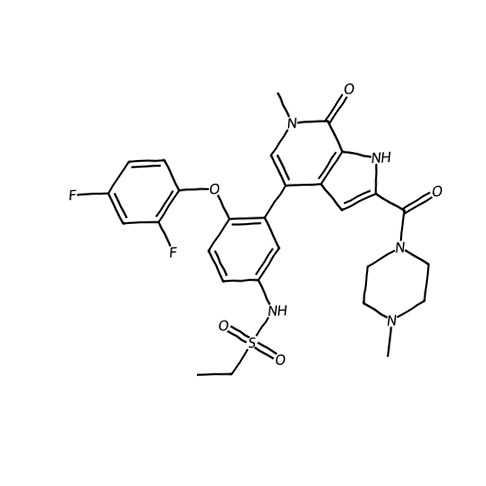 CCS(=O)(=O)Nc1ccc(Oc2ccc(F)cc2F)c(-c2cn(C)c(=O)c3[nH]c(C(=O)N4CCN(C)CC4)cc23)c1